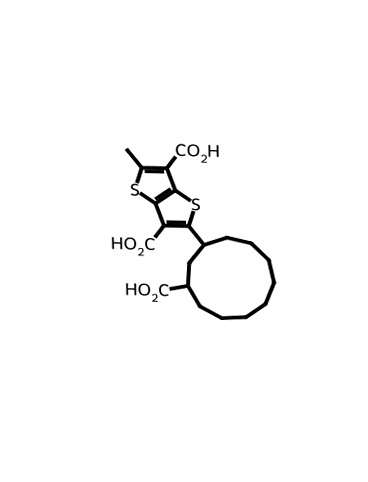 Cc1sc2c(C(=O)O)c(C3CCCCCCCCC(C(=O)O)C3)sc2c1C(=O)O